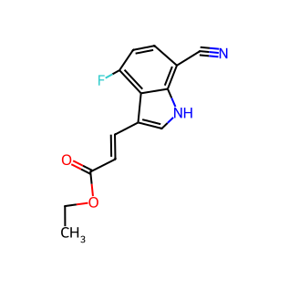 CCOC(=O)C=Cc1c[nH]c2c(C#N)ccc(F)c12